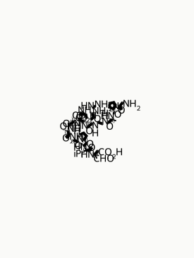 CC(C)[C@H](NC(=O)[C@@H]1CCCN1C(=O)[C@H](C)NC(=O)[C@H](CO)NC(=O)[C@H](CC(=O)O)NC(=O)[C@H](CCC(N)=O)NC(=O)[C@H](CCCNC(=N)N)NC(=O)CNC(=O)[C@H](C)NC(=O)[C@@H]1CCCN1C(=O)CN)C(=O)N[C@H]([C]=O)CC(=O)O